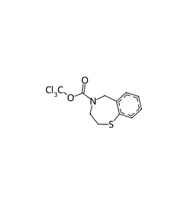 O=C(OC(Cl)(Cl)Cl)N1CCSc2ccccc2C1